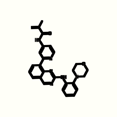 C=C(C)C(=O)Nc1ccnc(-c2cccc3cnc(Nc4ccccc4N4CCOCC4)nc23)c1